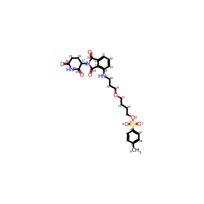 Cc1ccc(S(=O)(=O)OCCCCOCCCNc2cccc3c2C(=O)N(C2CCC(=O)NC2=O)C3=O)cc1